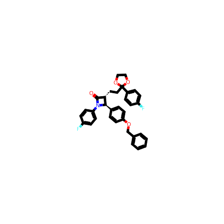 O=C1[C@H](CCC2(c3ccc(F)cc3)OCCO2)[C@@H](c2ccc(OCc3ccccc3)cc2)N1c1ccc(F)cc1